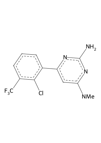 CNc1cc(-c2cccc(C(F)(F)F)c2Cl)nc(N)n1